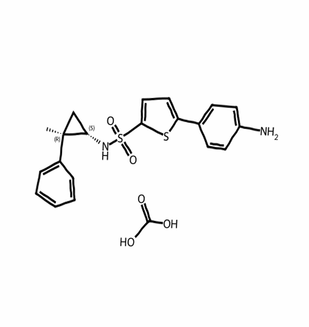 C[C@]1(c2ccccc2)C[C@@H]1NS(=O)(=O)c1ccc(-c2ccc(N)cc2)s1.O=C(O)O